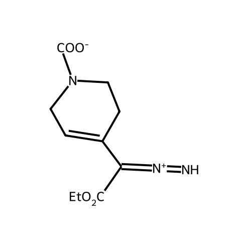 CCOC(=O)C(=[N+]=N)C1=CCN(C(=O)[O-])CC1